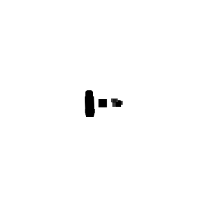 [Ni].[O]=[W].[Ta]